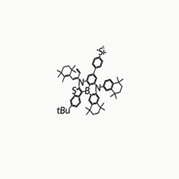 C=C/C(=C\C1=C(C)C(C)(C)CCC1(C)C)N1c2cc(-c3ccc([Si](C)(C)C)cc3)cc3c2B(c2cc4c(cc2N3c2ccc3c(c2)C(C)(C)CCC3(C)C)C(C)(C)CCC4(C)C)c2c1sc1cc(C(C)(C)C)ccc21